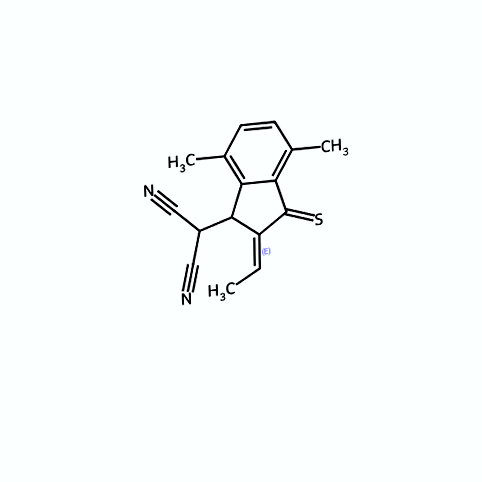 C/C=C1/C(=S)c2c(C)ccc(C)c2C1C(C#N)C#N